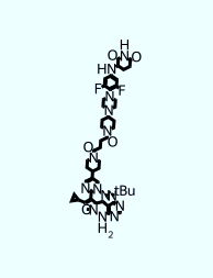 CC(C)(C)n1nc(-c2noc(C3CC3)c2-c2ncc(C3CCN(C(=O)CCC(=O)N4CCC(N5CCN(c6c(F)cc(NC7CCC(=O)NC7=O)cc6F)CC5)CC4)CC3)cn2)c2c(N)ncnc21